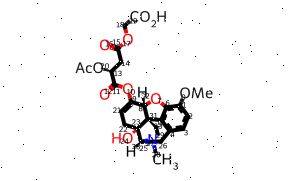 COc1ccc2c3c1O[C@H]1C(OC(=O)[C@H](CC(=O)OCC(=O)O)OC(C)=O)=CC[C@@]4(O)[C@@H](C2)N(C)CC[C@]314